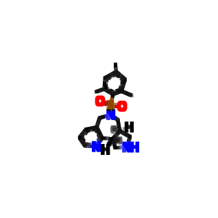 Cc1cc(C)c(S(=O)(=O)N2Cc3cccnc3[C@H]3CNC[C@@H]3C2)c(C)c1